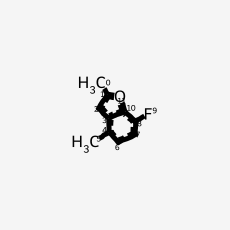 Cc1cc2c(C)ccc(F)c2o1